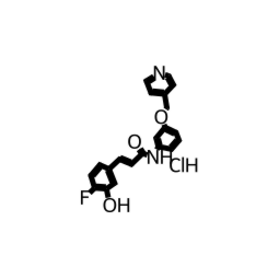 Cl.O=C(C=Cc1ccc(F)c(O)c1)Nc1cccc(OCc2ccncc2)c1